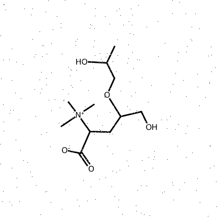 CC(O)COC(CO)CC(C(=O)[O-])[N+](C)(C)C